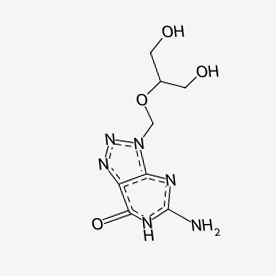 Nc1nc2c(nnn2COC(CO)CO)c(=O)[nH]1